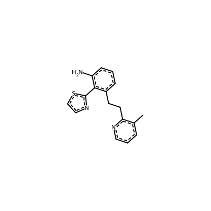 Cc1cccnc1CCc1cccc(N)c1-c1nccs1